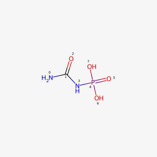 NC(=O)NP(=O)(O)O